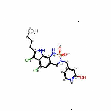 O=C(O)CCCc1[nH]c2c3c(cc(Cl)c2c1Cl)CN(Cc1ccnc(O)c1)S(=O)(=O)N3